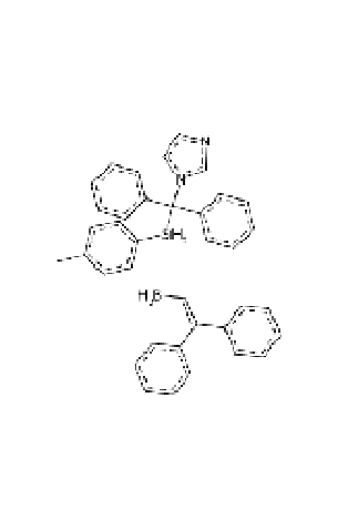 BC=C(c1ccccc1)c1ccccc1.Cc1ccc([SiH2]C(c2ccccc2)(c2ccccc2)n2ccnc2)cc1